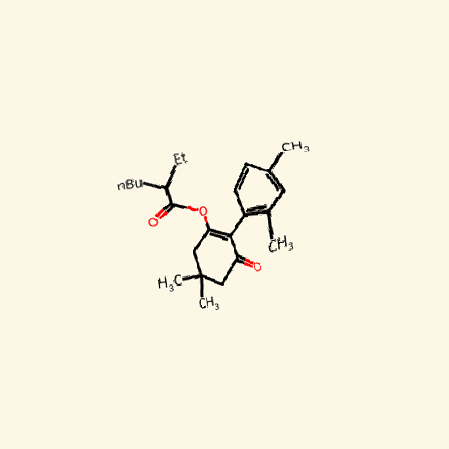 CCCCC(CC)C(=O)OC1=C(c2ccc(C)cc2C)C(=O)CC(C)(C)C1